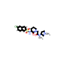 CN1CCC(N(C)C(=O)CN2CCC[C@H](NS(=O)(=O)c3ccc4cc(Cl)ccc4c3)C2=O)C1